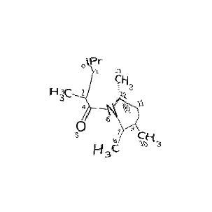 CC(C)CC(C)C(=O)N1C(C)C(C)C[C@H]1C